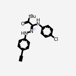 C#Cc1ccc(N/N=C(/Nc2ccc(Cl)cc2)C(=O)C(C)(C)C)cc1